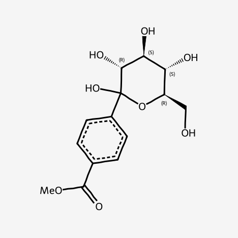 COC(=O)c1ccc(C2(O)O[C@H](CO)[C@@H](O)[C@H](O)[C@H]2O)cc1